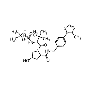 Cc1ncsc1-c1ccc(CNC(=O)[C@@H]2C[C@@H](O)CN2C(=O)[C@@H](NC(=O)OC(C)(C)C)C(C)(C)C)cc1